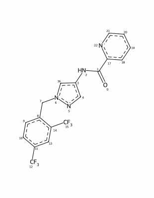 O=C(Nc1cnn(Cc2ccc(C(F)(F)F)cc2C(F)(F)F)c1)c1ccccn1